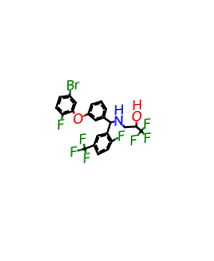 OC(CNC(c1cccc(Oc2cc(Br)ccc2F)c1)c1cc(C(F)(F)F)ccc1F)C(F)(F)F